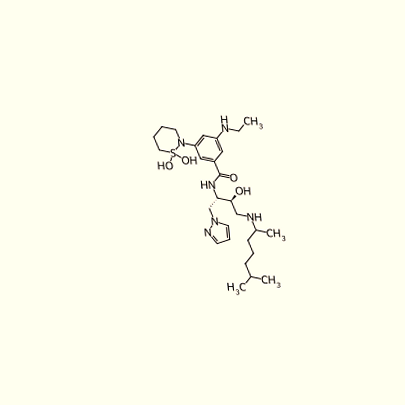 CCNc1cc(C(=O)N[C@@H](Cn2cccn2)[C@@H](O)CNC(C)CCCC(C)C)cc(N2CCCCS2(O)O)c1